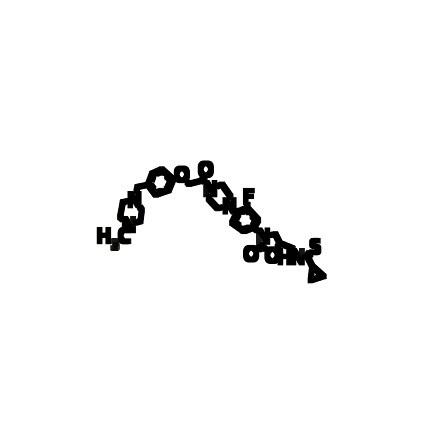 CN1CCN(Cc2ccc(OCC(=O)N3CCN(c4ccc(N5CC(CNC(=S)C6CC6)OC5=O)cc4F)CC3)cc2)CC1